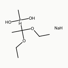 CCOC(C)(OCC)[PH](C)(O)O.[NaH]